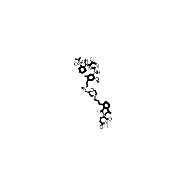 C=C1c2cccc(CCCN3CCO[C@H](CN(C)CCc4cc(OC)c(Nc5ncc(Cl)c(Nc6ccccc6S(=O)(=O)C(C)C)n5)cc4C)C3)c2C(=O)N1C1CCC(=O)NC1=O